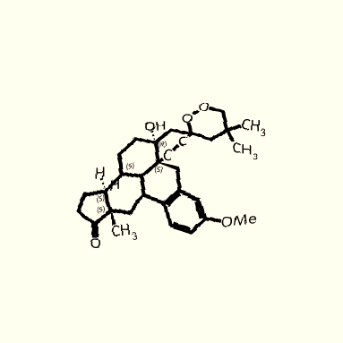 COc1ccc2c(c1)C[C@]13CCC4(CC(C)(C)COO4)C[C@]1(O)CC[C@@H]1C3C2C[C@]2(C)C(=O)CC[C@@H]12